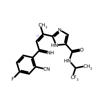 C/C(=C/C(=N)c1ccc(F)cc1C#N)c1ncc(C(=O)NC(C)C(F)(F)F)[nH]1